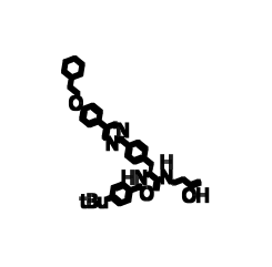 C=C(O)CCNC(=C)[C@H](Cc1ccc(-c2ncc(-c3ccc(OCCC4CCCCC4)cc3)cn2)cc1)NC(=O)c1ccc(C(C)(C)C)cc1